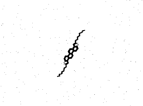 CCCCCCCCc1cc2c(ccc3c2ccc2c4ccc5sc(CCCCCCCC)cc5c4ccc32)s1